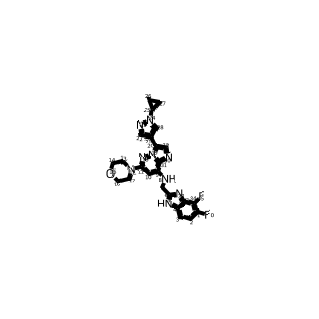 Fc1ccc2[nH]c(CNc3cc(N4CCOCC4)nn4c(-c5cnn(C6CC6)c5)cnc34)nc2c1F